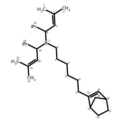 CC(C)=CC(B(CCCCCCC1=CC2CCC1C2)C(C=C(C)C)C(C)C)C(C)C